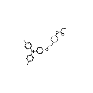 C=CC(=O)OC1CCC(CCOc2ccc(N(c3ccc(C)cc3)c3ccc(C)cc3)cc2)CC1